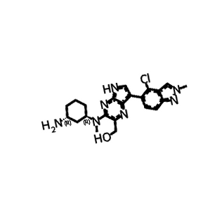 CN(c1nc2[nH]cc(-c3ccc4nn(C)cc4c3Cl)c2nc1CO)[C@@H]1CCC[C@@H](N)C1